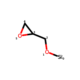 [Si]OCC1CO1